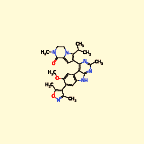 COc1cc2c(cc1-c1c(C)noc1C)[nH]c1nc(C)nc(-c3cc4n(c3C(C)C)CCN(C)C4=O)c12